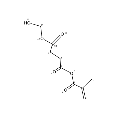 C=C(C)C(=O)OC(=O)CCC(=O)OCO